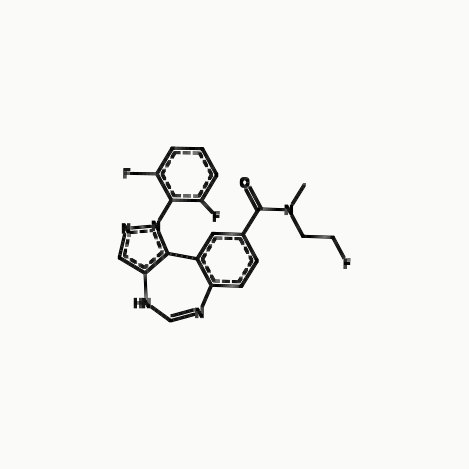 CN(CCF)C(=O)c1ccc2c(c1)-c1c(cnn1-c1c(F)cccc1F)NC=N2